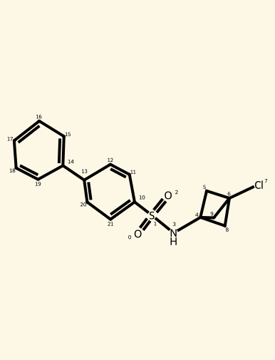 O=S(=O)(NC12CC(Cl)(C1)C2)c1ccc(-c2ccccc2)cc1